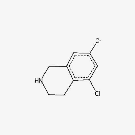 [O]c1cc(Cl)c2c(c1)CNCC2